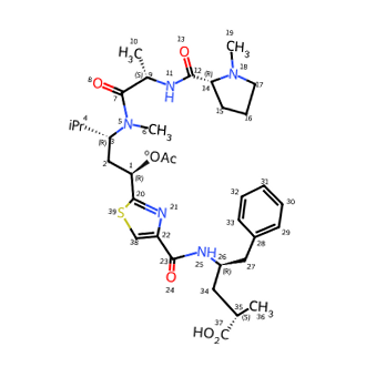 CC(=O)O[C@H](C[C@H](C(C)C)N(C)C(=O)[C@H](C)NC(=O)[C@H]1CCCN1C)c1nc(C(=O)N[C@@H](Cc2ccccc2)C[C@H](C)C(=O)O)cs1